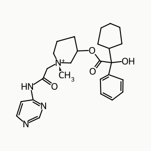 C[N@@+]1(CC(=O)Nc2ccncn2)CCCC(OC(=O)C(O)(c2ccccc2)C2CCCCC2)C1